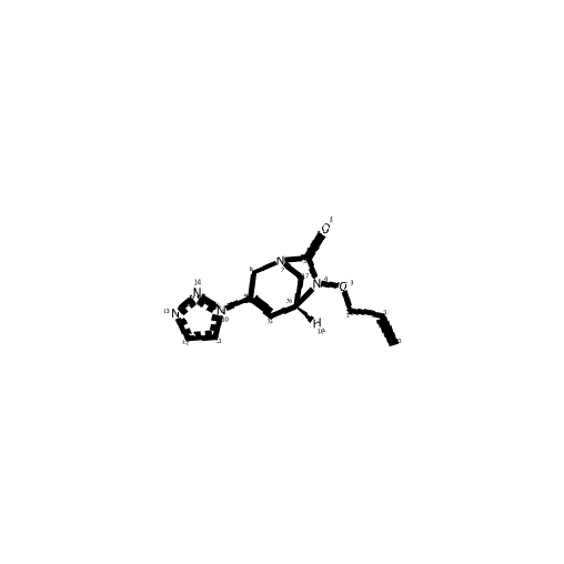 C=CCON1C(=O)N2CC(n3ccnn3)=C[C@@H]1C2